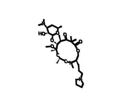 CO[C@]1(C)C[C@@H](C)CN(C)[C@H](CCCN2CCCC2)COC(=O)C(C)(C)C(=O)[C@H](C)[C@H]1O[C@@H]1O[C@H](C)C[C@H](N(C)C)[C@H]1O